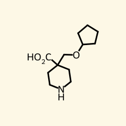 O=C(O)C1(COC2CCCC2)CCNCC1